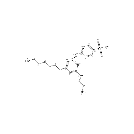 NCCNc1nc(NCCOCCO)nc(Nc2ccc(S(=O)(=O)O)cc2)n1